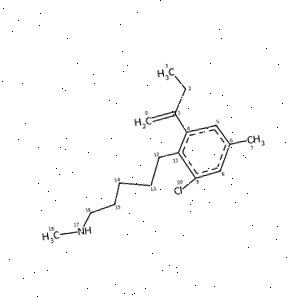 C=C(CC)c1cc(C)cc(Cl)c1CCCCCNC